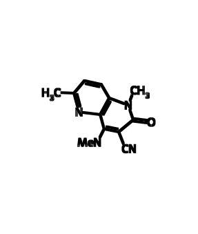 CNc1c(C#N)c(=O)n(C)c2ccc(C)nc12